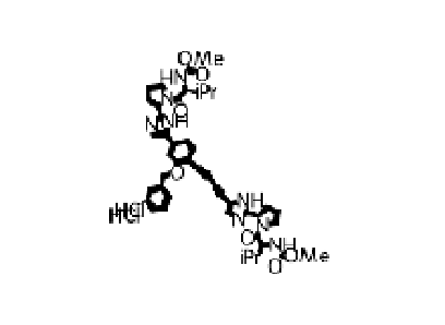 COC(=O)NC(C(=O)N1CCCC1c1ncc(C#CC#Cc2ccc(-c3cnc(C4CCCN4C(=O)[C@@H](NC(=O)OC)C(C)C)[nH]3)cc2OCc2ccccc2)[nH]1)C(C)C.Cl.Cl